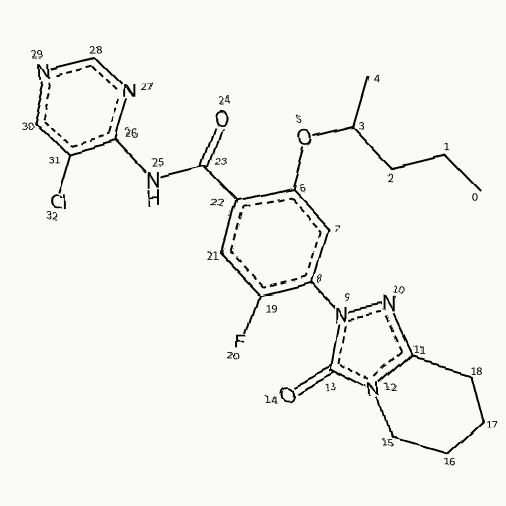 CCCC(C)Oc1cc(-n2nc3n(c2=O)CCCC3)c(F)cc1C(=O)Nc1ncncc1Cl